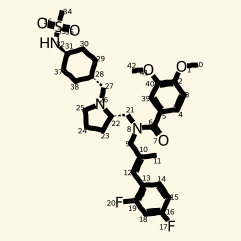 COc1ccc(C(=O)N(C/C(C)=C/c2ccc(F)cc2F)C[C@@H]2CCCN2C[C@H]2CC[C@H](NS(C)(=O)=O)CC2)cc1OC